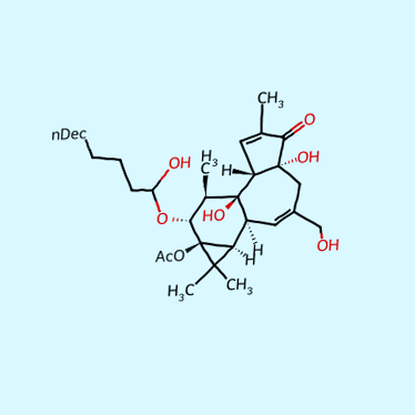 CCCCCCCCCCCCCC(O)O[C@@H]1[C@@H](C)[C@@]2(O)[C@@H](C=C(CO)C[C@]3(O)C(=O)C(C)=C[C@@H]23)[C@H]2C(C)(C)[C@]12OC(C)=O